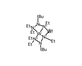 CC[N+]1(CC)N(C(C)(C)C)[N+](CC)(CC)[W]12[N+](CC)(CC)N(C(C)(C)C)[N+]2(CC)CC